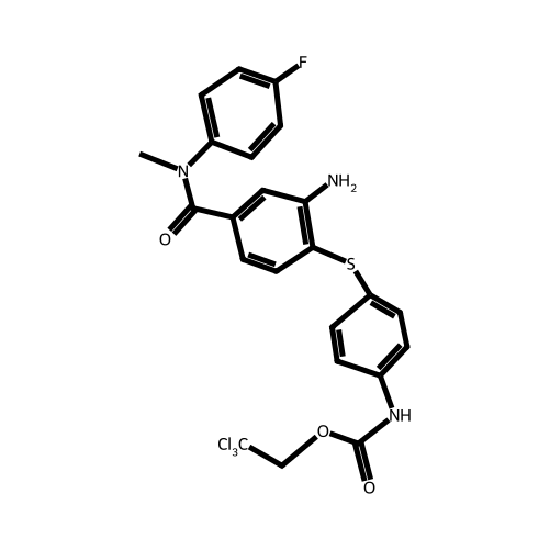 CN(C(=O)c1ccc(Sc2ccc(NC(=O)OCC(Cl)(Cl)Cl)cc2)c(N)c1)c1ccc(F)cc1